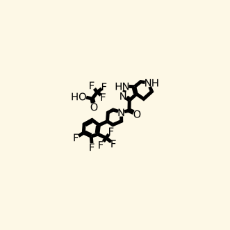 O=C(O)C(F)(F)F.O=C(c1n[nH]c2c1CCNC2)N1CCC(c2ccc(F)c(F)c2C(F)(F)F)CC1